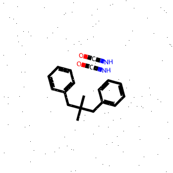 CC(C)(Cc1ccccc1)Cc1ccccc1.N=C=O.N=C=O